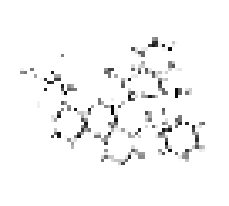 FC(CN(Cc1ccccc1OC(F)(F)F)c1ccccc1Oc1ccccc1)c1ccccc1C(F)(F)F